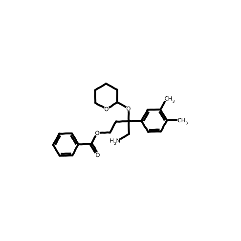 Cc1ccc(C(CN)(CCOC(=O)c2ccccc2)OC2CCCCO2)cc1C